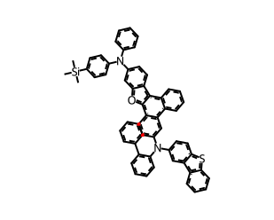 C[Si](C)(C)c1ccc(N(c2ccccc2)c2ccc3c(c2)oc2c4ccc(N(c5ccc6sc7ccccc7c6c5)c5ccccc5-c5ccccc5)cc4c4ccccc4c32)cc1